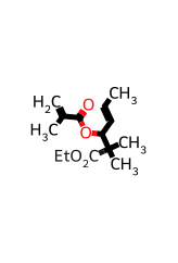 C=C(C)C(=O)OC(C=CC)C(C)(C)C(=O)OCC